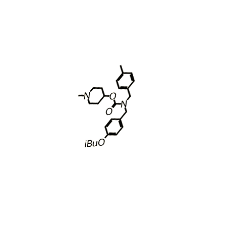 Cc1ccc(CN(Cc2ccc(OCC(C)C)cc2)C(=O)OC2CCN(C)CC2)cc1